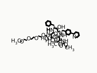 COCCOCCOCCOC(=O)N[C@H](C(=O)N[C@@H](Cc1ccccc1)[C@@H](O)CN(Cc1ccc(-c2ccccn2)cc1)NC(=O)[C@@H](NC(=O)OC)C(C)(C)C)C(C)(C)C